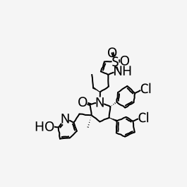 CC[C@@H](CC1C=CS(=O)(=O)N1)N1C(=O)[C@](C)(Cc2cccc(O)n2)C[C@H](c2cccc(Cl)c2)[C@H]1c1ccc(Cl)cc1